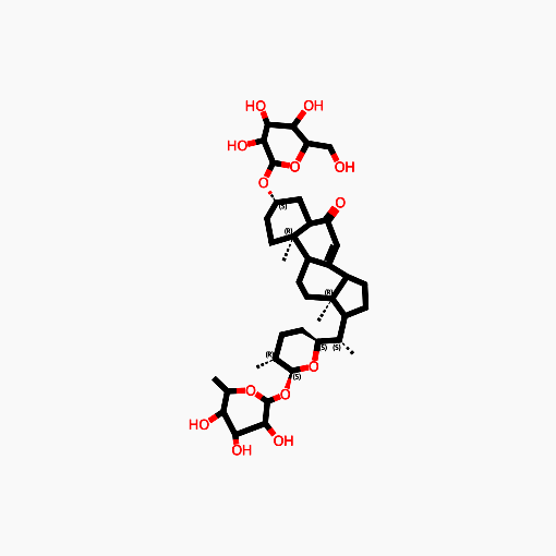 CC1OC(O[C@@H]2O[C@H]([C@@H](C)C3CCC4C5=CC(=O)C6C[C@@H](OC7OC(CO)C(O)C(O)C7O)CC[C@]6(C)C5CC[C@@]43C)CC[C@H]2C)C(O)C(O)C1O